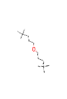 CC(C)(C)CCCOCCCC(C)(C)C